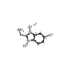 CCn1c(CN)[n+](CC)c2ccc(Cl)cc21.[I-]